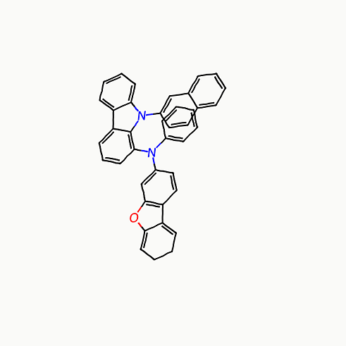 C1=c2oc3cc(N(c4ccccc4)c4cccc5c6ccccc6n(-c6ccc7ccccc7c6)c45)ccc3c2=CCC1